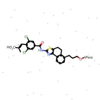 CCCCCOCCCc1cccc2c1CCc1sc(NC(=O)c3cc(Cl)c(/C=C(\C)C(=O)O)c(Cl)c3)nc1-2